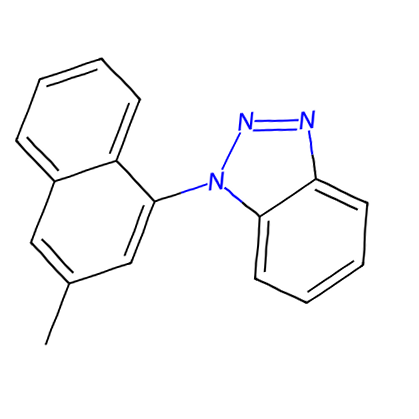 Cc1cc(-n2nnc3ccccc32)c2ccccc2c1